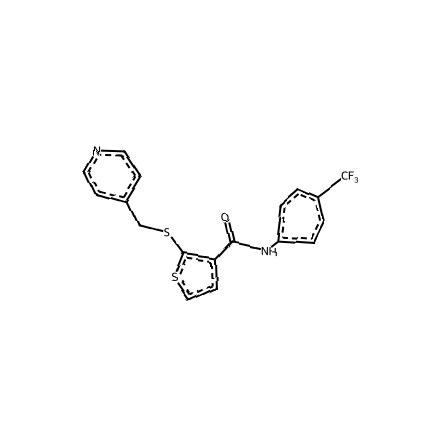 O=C(Nc1ccc(C(F)(F)F)cc1)c1ccsc1SCc1ccncc1